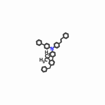 CC1(C)c2cc(Cc3ccccc3)ccc2-c2ccc(N(c3ccc(/C=C/c4ccccc4)cc3)c3ccc(-c4ccccc4)cc3)cc21